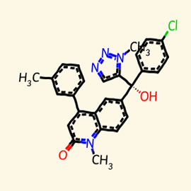 Cc1cccc(-c2cc(=O)n(C)c3ccc([C@](O)(c4ccc(Cl)cc4)c4cnnn4C)cc23)c1